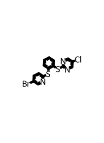 Clc1cnc(Sc2ccccc2Sc2ccc(Br)cn2)nc1